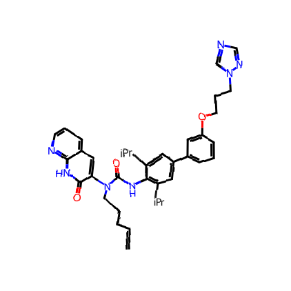 C=CCCCN(C(=O)Nc1c(C(C)C)cc(-c2cccc(OCCCn3cncn3)c2)cc1C(C)C)c1cc2cccnc2[nH]c1=O